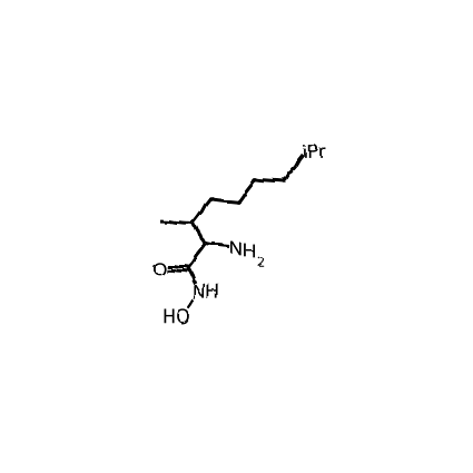 CC(C)CCCCC(C)C(N)C(=O)NO